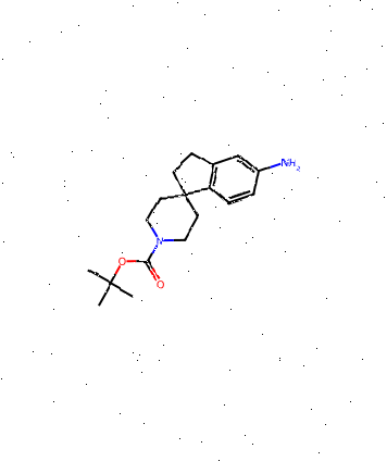 CC(C)(C)OC(=O)N1CCC2(CCc3cc(N)ccc32)CC1